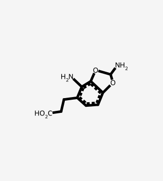 Nc1c(CCC(=O)O)ccc2c1OC(N)O2